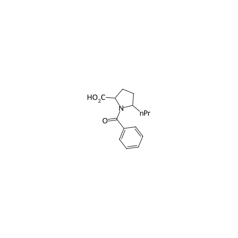 CCCC1CCC(C(=O)O)N1C(=O)c1ccccc1